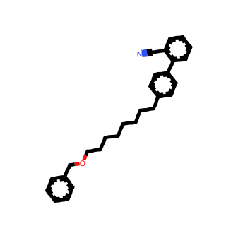 N#Cc1ccccc1-c1ccc(CCCCCCCCOCc2ccccc2)cc1